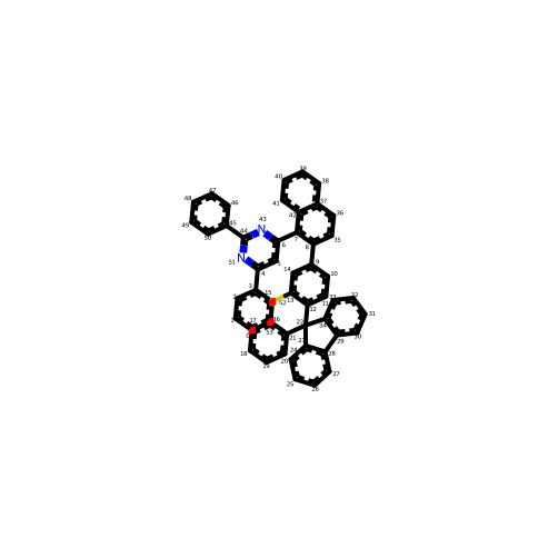 c1ccc(-c2cc(-c3c(-c4ccc5c(c4)Sc4ccccc4C54c5ccccc5-c5ccccc54)ccc4ccccc34)nc(-c3ccccc3)n2)cc1